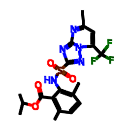 Cc1cc(C(F)(F)F)n2nc(S(=O)(=O)Nc3c(C)ccc(C)c3C(=O)OC(C)C)nc2n1